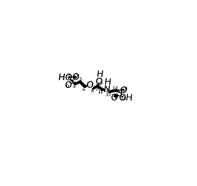 O=S(=O)(O)CCCOCC(O)CNCCS(=O)(=O)O